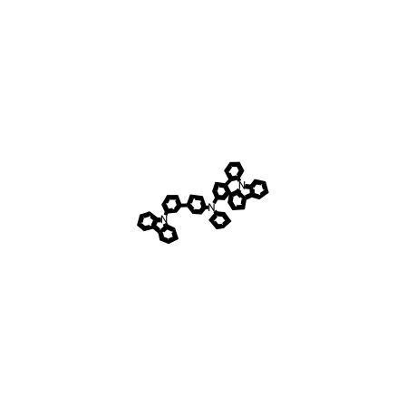 c1ccc(N(c2ccc(-c3cccc(-n4c5ccccc5c5ccccc54)c3)cc2)c2ccc(-c3ccccc3-n3c4ccccc4c4ccccc43)cc2)cc1